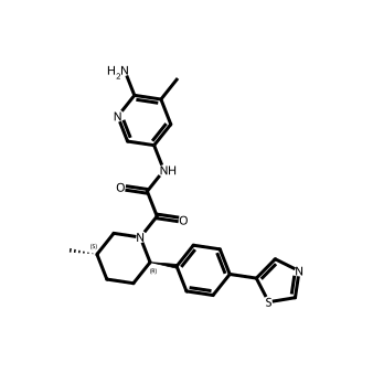 Cc1cc(NC(=O)C(=O)N2C[C@@H](C)CC[C@@H]2c2ccc(-c3cncs3)cc2)cnc1N